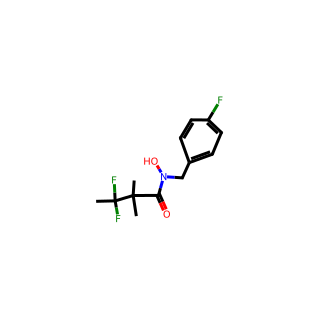 CC(F)(F)C(C)(C)C(=O)N(O)Cc1ccc(F)cc1